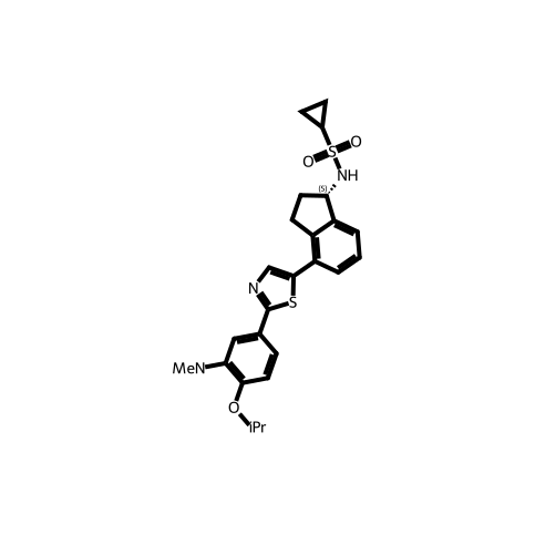 CNc1cc(-c2ncc(-c3cccc4c3CC[C@@H]4NS(=O)(=O)C3CC3)s2)ccc1OC(C)C